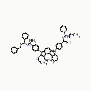 C=Cc1c(/C=C\C)n(-c2ccc(/C(N)=N/C(=N\Cc3ccccc3)c3ccccc3)cc2)c2ccc3c(c4ccccc4n3-c3ccc(C(=N)/N=C(\N=C\C)C4C=CC=CC4)cc3)c12